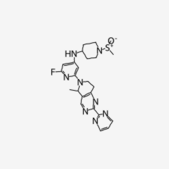 CC1c2cnc(-c3ncccn3)nc2CCN1c1cc(NC2CCN([S+](C)[O-])CC2)cc(F)n1